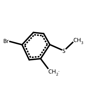 [CH2]c1cc(Br)ccc1SC